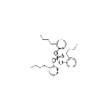 CCCCc1ccccc1OP(=S)(Oc1ccccc1CCCC)Oc1ccccc1CCCC